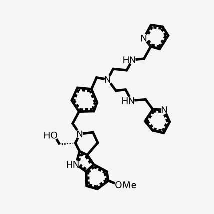 COc1ccc2[nH]c3c(c2c1)CCN(Cc1ccc(CN(CCNCc2ccccn2)CCNCc2ccccn2)cc1)[C@H]3CO